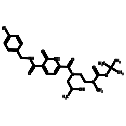 CC(O)CN(CCN(C)C(=O)OC(C)(C)C)C(=O)c1ccc(C(=O)NCc2ccc(Cl)cc2)c(=O)[nH]1